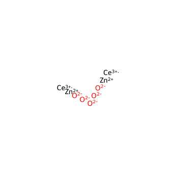 [Ce+3].[Ce+3].[O-2].[O-2].[O-2].[O-2].[O-2].[Zn+2].[Zn+2]